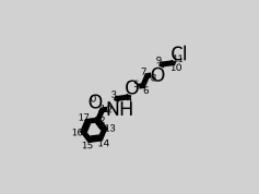 O=C(NCCOCCOCCCl)c1ccccc1